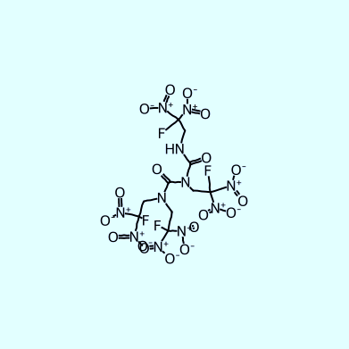 O=C(NCC(F)([N+](=O)[O-])[N+](=O)[O-])N(CC(F)([N+](=O)[O-])[N+](=O)[O-])C(=O)N(CC(F)([N+](=O)[O-])[N+](=O)[O-])CC(F)([N+](=O)[O-])[N+](=O)[O-]